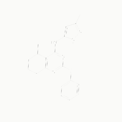 Cc1cc(Nc2nc(Sc3ccccc3)nc3c2C(C)CCC3)[nH]n1